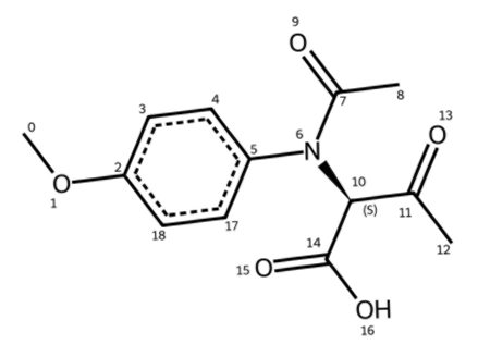 COc1ccc(N(C(C)=O)[C@@H](C(C)=O)C(=O)O)cc1